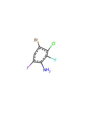 Nc1c(I)cc(Br)c(Cl)c1F